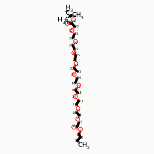 CCCCOC(=O)COCCOCCOCCOCCOCCOCCOCCOCCOCC(=O)OC(C)(C)C